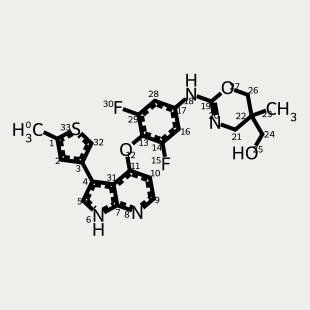 Cc1cc(-c2c[nH]c3nccc(Oc4c(F)cc(NC5=NCC(C)(CO)CO5)cc4F)c23)cs1